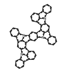 c1ccc2c(c1)c1cccc3c4c5c6cc7c(cc6n6c8ccccc8c(cc4n2c13)c56)c1c2c3cccc4c5ccccc5n(c2cc2c5ccccc5n7c21)c43